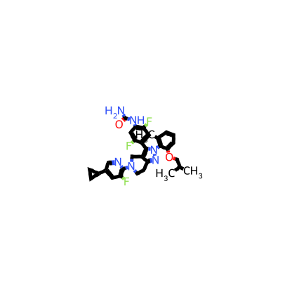 Cc1cccc(OCC(C)C)c1-n1nc2c(c1-c1cc(F)c(NC(N)=O)cc1F)CN(c1ncc(C3CC3)cc1F)CC2